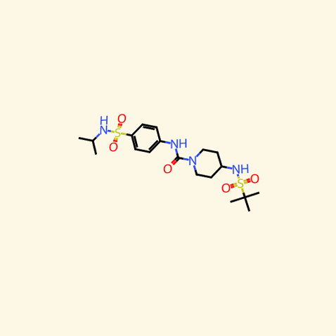 CC(C)NS(=O)(=O)c1ccc(NC(=O)N2CCC(NS(=O)(=O)C(C)(C)C)CC2)cc1